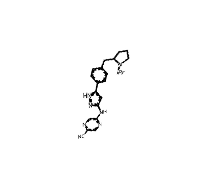 CC(C)N1CCCC1Cc1ccc(-c2cc(Nc3cnc(C#N)cn3)n[nH]2)cc1